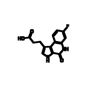 O=C(O)CCc1c[nH]c2c(=O)[nH]c3cc(F)ccc3c12